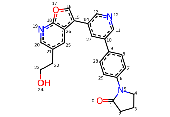 O=C1CCCN1c1ccc(-c2cncc(-c3coc4ncc(CCO)cc34)c2)cc1